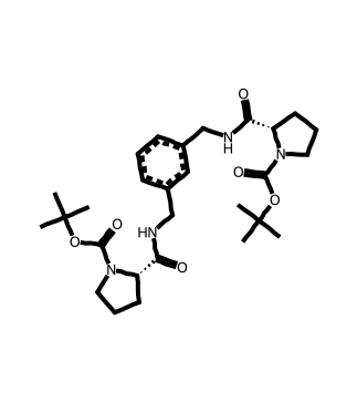 CC(C)(C)OC(=O)N1CCC[C@H]1C(=O)NCc1cccc(CNC(=O)[C@@H]2CCCN2C(=O)OC(C)(C)C)c1